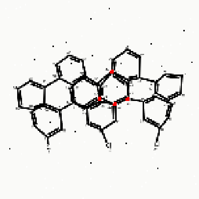 Clc1cccc(N(c2cc(Cl)cc(N(c3cccc(Cl)c3)c3c(-c4ccccc4)cccc3-c3ccccc3)c2)c2c(-c3ccccc3)cccc2-c2ccccc2)c1